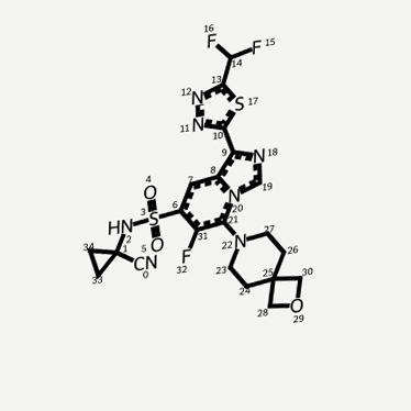 N#CC1(NS(=O)(=O)c2cc3c(-c4nnc(C(F)F)s4)ncn3c(N3CCC4(CC3)COC4)c2F)CC1